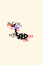 CC(C)[C@H](NCC(=O)CC[C@@H](C)[C@H]1CC[C@H]2[C@@H]3C[C@H](O)[C@@H]4C[C@H](O)CC[C@]4(C)[C@H]3CC[C@]12C)C(=O)O